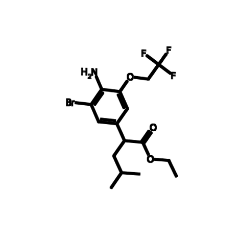 CCOC(=O)C(CC(C)C)c1cc(Br)c(N)c(OCC(F)(F)F)c1